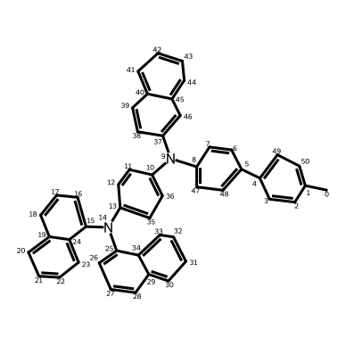 Cc1ccc(-c2ccc(N(c3ccc(N(c4cccc5ccccc45)c4cccc5ccccc45)cc3)c3ccc4ccccc4c3)cc2)cc1